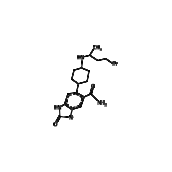 CC(C)CCC(C)NC1CCC(c2cc3c(cc2C(N)=O)[N]C(=O)N3)CC1